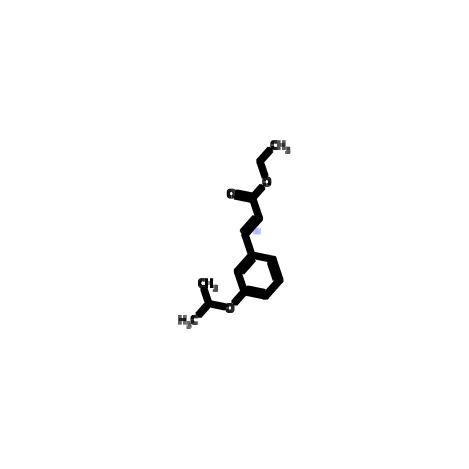 CCOC(=O)/C=C/c1cccc(OC(C)C)c1